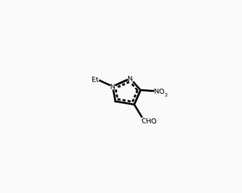 CCn1cc(C=O)c([N+](=O)[O-])n1